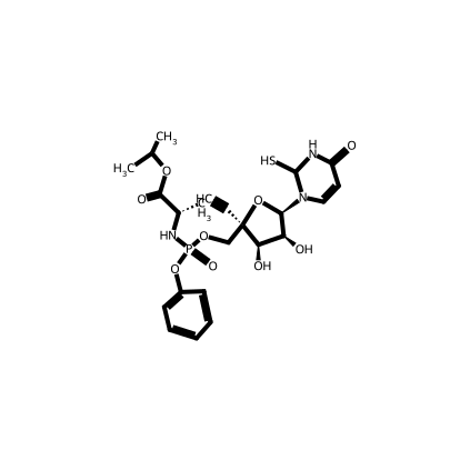 C#C[C@]1(COP(=O)(N[C@@H](C)C(=O)OC(C)C)Oc2ccccc2)O[C@@H](N2C=CC(=O)NC2S)[C@@H](O)[C@H]1O